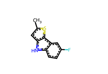 Cc1cc2[nH]c3ccc(F)cc3c2s1